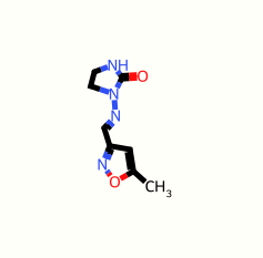 Cc1cc(/C=N/N2CCNC2=O)no1